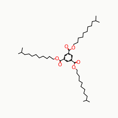 CC(C)CCCCCCCCCOC(=O)c1cc(C(=O)OCCCCCCCCCC(C)C)cc(C(=O)OCCCCCCCCCC(C)C)c1